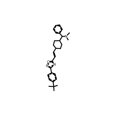 CN(C)C(c1ccccc1)C1CCC(/C=C/c2nc(-c3ccc(C(C)(C)C)cc3)no2)CC1